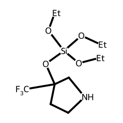 CCO[Si](OCC)(OCC)OC1(C(F)(F)F)CCNC1